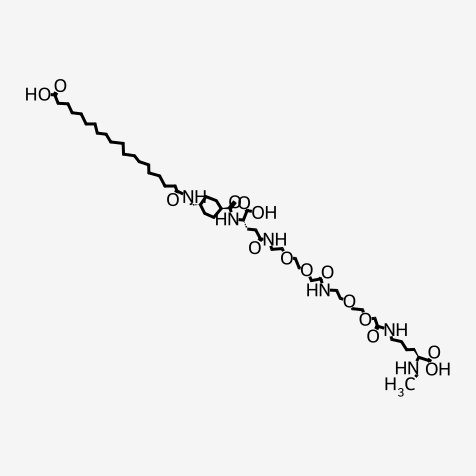 CCN[C@@H](CCCCNC(=O)COCCOCCNC(=O)COCCOCCNC(=O)CC[C@H](NC(=O)[C@H]1CC[C@H](CNC(=O)CCCCCCCCCCCCCCCCCCC(=O)O)CC1)C(=O)O)C(=O)O